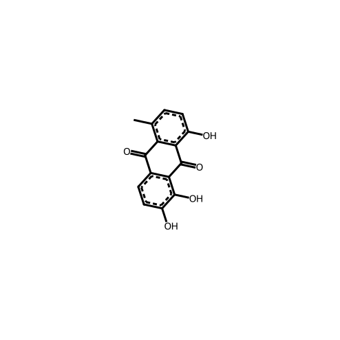 Cc1ccc(O)c2c1C(=O)c1ccc(O)c(O)c1C2=O